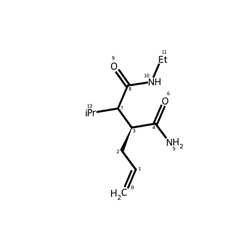 C=CC[C@H](C(N)=O)C(C(=O)NCC)C(C)C